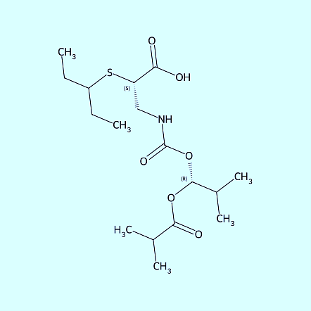 CCC(CC)S[C@@H](CNC(=O)O[C@@H](OC(=O)C(C)C)C(C)C)C(=O)O